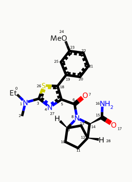 CCN(C)c1nc(C(=O)N2[C@H]3CC[C@H](C3)[C@@H]2C(N)=O)c(-c2cccc(OC)c2)s1